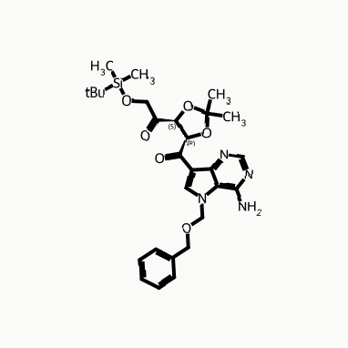 CC1(C)O[C@H](C(=O)CO[Si](C)(C)C(C)(C)C)[C@H](C(=O)c2cn(COCc3ccccc3)c3c(N)ncnc23)O1